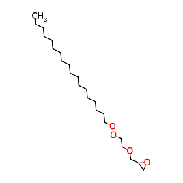 CCCCCCCCCCCCCCCCCCOOCCOCC1CO1